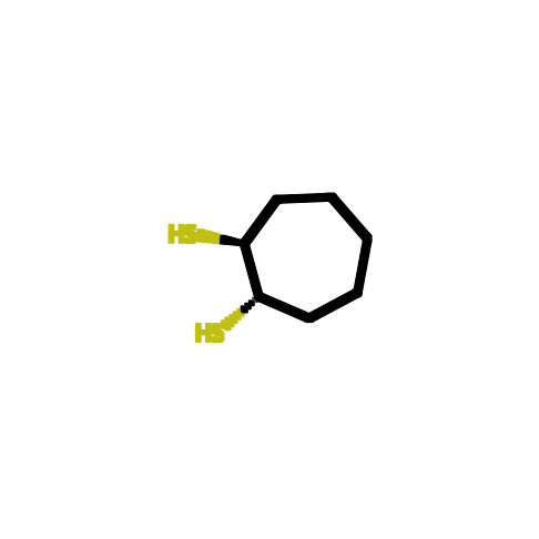 S[C@H]1CCCCC[C@@H]1S